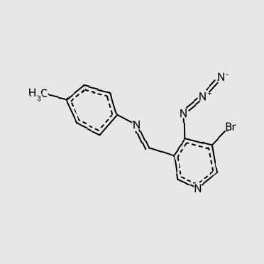 Cc1ccc(N=Cc2cncc(Br)c2N=[N+]=[N-])cc1